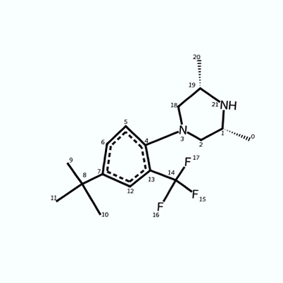 C[C@@H]1CN(c2ccc(C(C)(C)C)cc2C(F)(F)F)C[C@H](C)N1